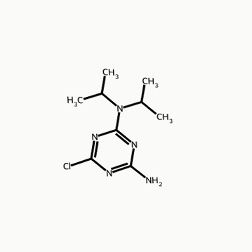 CC(C)N(c1nc(N)nc(Cl)n1)C(C)C